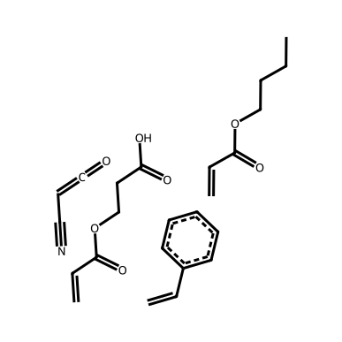 C=CC(=O)OCCC(=O)O.C=CC(=O)OCCCC.C=Cc1ccccc1.N#CC=C=O